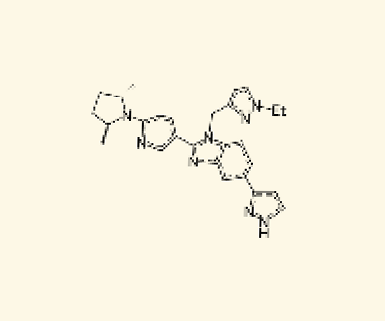 CCn1ccc(Cn2c(-c3ccc(N4[C@@H](C)CC[C@@H]4C)nc3)nc3cc(-c4cc[nH]n4)ccc32)n1